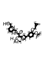 CC(=O)CN1CC(c2ccc(OC(F)F)c(OCC3CC3)c2)C[C@@H]1[C@@H](C)C(=O)NCc1cccc(CO)n1